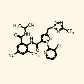 Cc1cc(C#N)cc(C(=O)NC(C)C#N)c1NC(=O)c1cc(Cn2nnc(C(F)(F)F)n2)nn1-c1ncccc1Cl